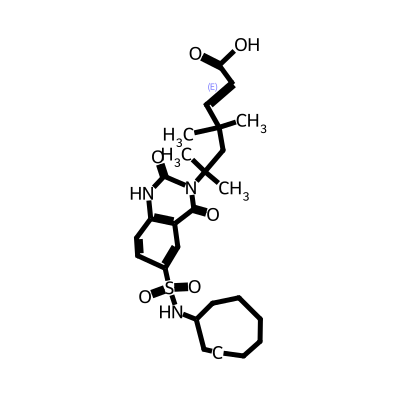 CC(C)(/C=C/C(=O)O)CC(C)(C)n1c(=O)[nH]c2ccc(S(=O)(=O)NC3CCCCCCC3)cc2c1=O